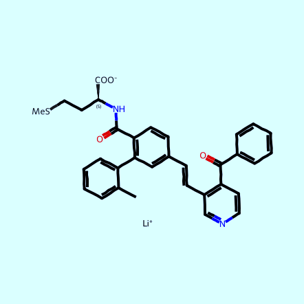 CSCC[C@H](NC(=O)c1ccc(C=Cc2cnccc2C(=O)c2ccccc2)cc1-c1ccccc1C)C(=O)[O-].[Li+]